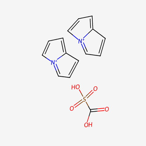 C1=CC2=CC=C[N+]2=C1.C1=CC2=CC=C[N+]2=C1.O=C(O)S(=O)(=O)O